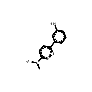 CCCCN(C)c1ccc(-c2cccc(N)c2)nn1